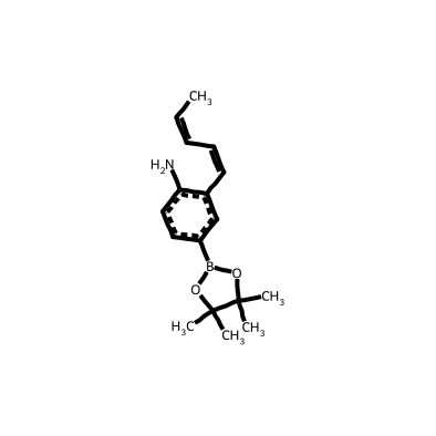 C/C=C\C=C/c1cc(B2OC(C)(C)C(C)(C)O2)ccc1N